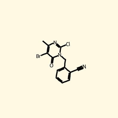 Cc1nc(Cl)n(Cc2ccccc2C#N)c(=O)c1Br